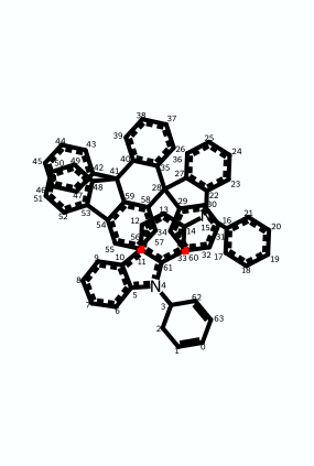 C1=CCC(n2c3ccccc3c3ccc(N(c4ccccc4)c4ccccc4C4(c5ccccc5)c5ccccc5C5(c6ccccc6)c6ccccc6-c6cccc4c65)cc32)C=C1